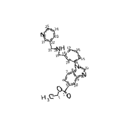 CCOC(=O)c1ccc2c(c1)ncn2-c1cccc(CNCc2cccnc2)c1